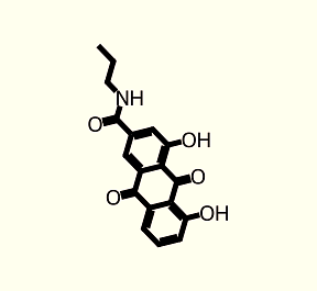 CCCNC(=O)c1cc(O)c2c(c1)C(=O)c1cccc(O)c1C2=O